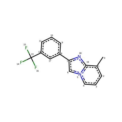 Cc1cccn2cc(-c3cccc(C(F)(F)F)c3)nc12